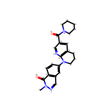 Cn1ncc2cc(N3CCCc4cc(C(=O)N5CCCCC5)cnc43)ccc2c1=O